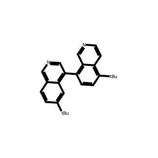 CC(C)(C)c1ccc2cncc(-c3ccc(C(C)(C)C)c4ccncc34)c2c1